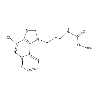 CC(C)(C)OC(=O)NCCCn1cnc2c(Cl)nc3ccccc3c21